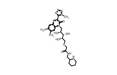 Cc1cc2nc(-c3nnnn3C)c(=O)n(C[C@H](O)[C@H](O)[C@H](O)COCC(=O)NCC3CCCCN3)c2cc1C